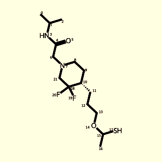 CC(C)NC(=O)CN1CC[C@H](CCCOC(C)S)C(F)(F)C1